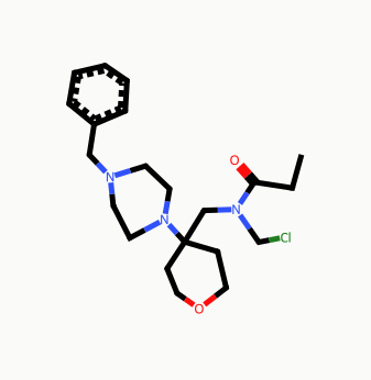 CCC(=O)N(CCl)CC1(N2CCN(Cc3ccccc3)CC2)CCOCC1